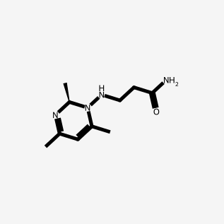 CC1=CC(C)=N[C@@H](C)N1NCCC(N)=O